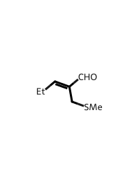 CC/C=C(/C=O)CSC